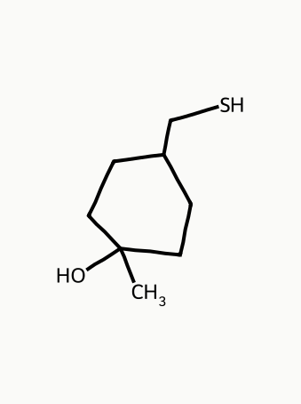 CC1(O)CCC(CS)CC1